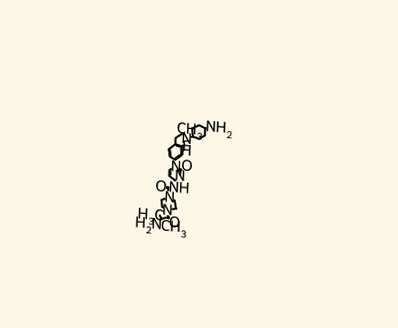 CC(Cc1ccc(-n2ccc(NC(=O)N3CCN(C(=O)C(C)(C)N)CC3)nc2=O)cc1F)NC1CCC(N)CC1